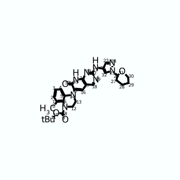 Cc1cccc2c1N(C(=O)OC(C)(C)C)CCN2c1cc2cnc(Nc3cnn(C4CCCCO4)c3)nc2[nH]c1=O